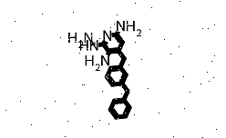 NNc1nc(N)cc(Cc2cccc(Cc3ccccc3)c2)c1N